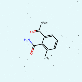 CNC(=O)c1cccc(C)c1C(N)=O